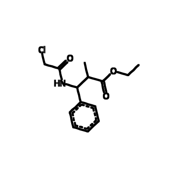 CCOC(=O)C(C)C(NC(=O)CCl)c1ccccc1